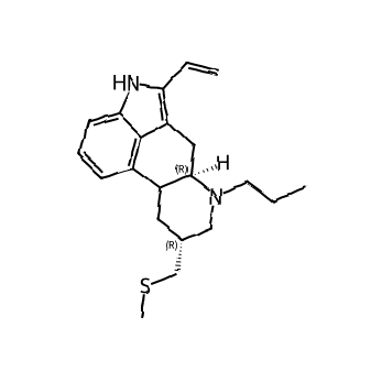 C=Cc1[nH]c2cccc3c2c1C[C@@H]1C3C[C@@H](CSC)CN1CCC